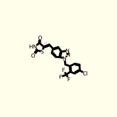 O=C1NC(=O)/C(=C/c2ccc3c(c2)nnn3Cc2ccc(Cl)cc2C(F)(F)F)S1